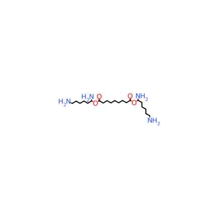 NCCCCCC(N)OC(=O)CCCCCCCC(=O)OC(N)CCCCCN